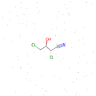 N#C[C@H](Cl)[C@H](O)CCl